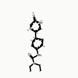 CCN(CC)C(=O)Nc1ccc(-c2c[nH]c(=O)cn2)cc1